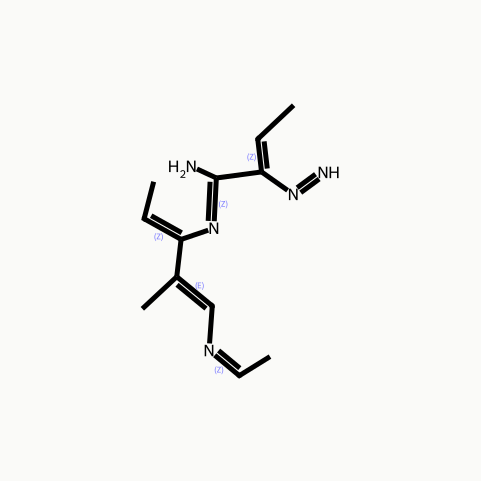 C\C=N/C=C(C)/C(=C/C)/N=C(N)/C(=C/C)N=N